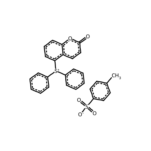 Cc1ccc(S(=O)(=O)[O-])cc1.O=c1ccc2c([S+](c3ccccc3)c3ccccc3)cccc2o1